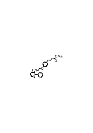 COC(=O)CCCc1ccc(OCCNc2cccnc2-c2ccccc2)cc1